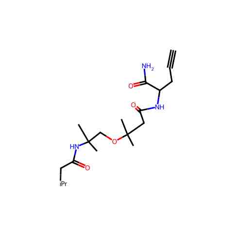 C#CCC(NC(=O)CC(C)(C)OCC(C)(C)NC(=O)CC(C)C)C(N)=O